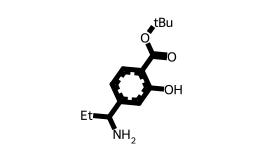 CCC(N)c1ccc(C(=O)OC(C)(C)C)c(O)c1